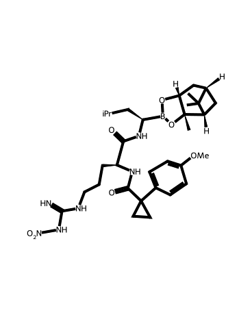 COc1ccc(C2(C(=O)N[C@@H](CCCNC(=N)N[N+](=O)[O-])C(=O)N[C@@H](CC(C)C)B3O[C@@H]4C[C@@H]5C[C@@H](C5(C)C)[C@]4(C)O3)CC2)cc1